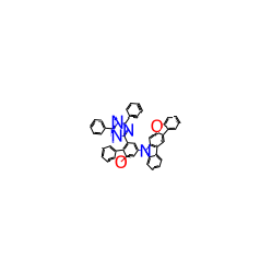 c1ccc(-c2nc(-c3ccccc3)nc(-c3cc(-n4c5ccccc5c5cc6c(cc54)oc4ccccc46)cc4oc5ccccc5c34)n2)cc1